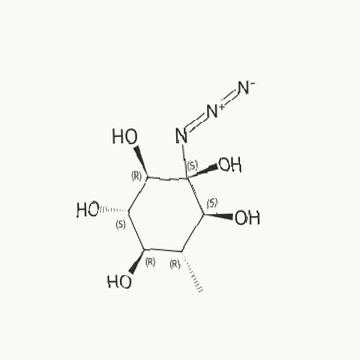 C[C@@H]1[C@@H](O)[C@H](O)[C@@H](O)[C@](O)(N=[N+]=[N-])[C@H]1O